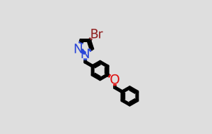 Brc1cnn(Cc2ccc(OCc3ccccc3)cc2)c1